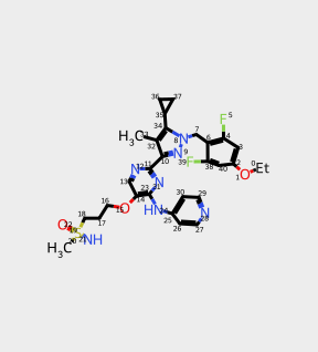 CCOc1cc(F)c(Cn2nc(-c3ncc(OCCCS(C)(=N)=O)c(Nc4ccncc4)n3)c(C)c2C2CC2)c(F)c1